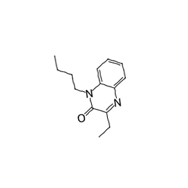 CCCCn1c(=O)c(CC)nc2ccccc21